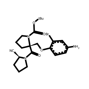 CC(C)(C)OC(=O)N1CCC[C@@]1(COc1ccc(N)cc1Br)C(=O)N1CCC[C@H]1C#N